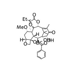 CCSC(=O)O[C@H]1C(=O)[C@]2(C)[C@@H](OC)C[C@H]3OC[C@@]3(OC(C)=O)[C@H]2[C@H](OC(=O)c2ccccc2)[C@]2(O)[C@@H](O)C(=O)C(C)=C1C2(C)C